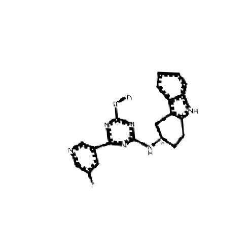 CC(C)Oc1nc(N[C@@H]2CCc3[nH]c4ccccc4c3C2)nc(-c2cncc(F)c2)n1